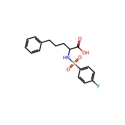 O=C(O)C(CCCc1ccccc1)NS(=O)(=O)c1ccc(F)cc1